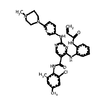 C=CC(=O)Nc1ccccc1Nc1nc(Nc2ccc(N3CCN(C)CC3)cc2)ncc1C(=O)Nc1c(C)cc(C)cc1Cl